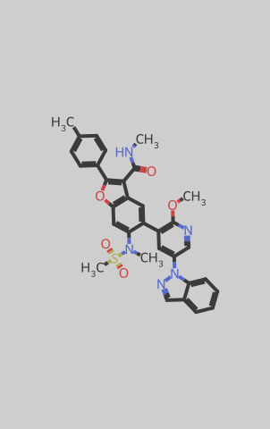 CNC(=O)c1c(-c2ccc(C)cc2)oc2cc(N(C)S(C)(=O)=O)c(-c3cc(-n4ncc5ccccc54)cnc3OC)cc12